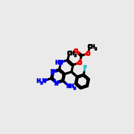 COC(=O)OC1=C(C)Nc2nc(N)nc(N)c2C1c1ccccc1F